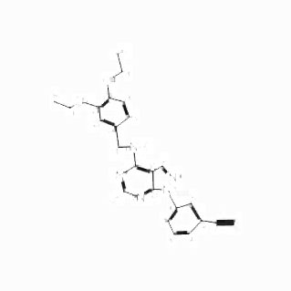 C#Cc1cccc(-n2ncc3c(NCc4ccc(OCC)c(OCC)c4)ncnc32)c1